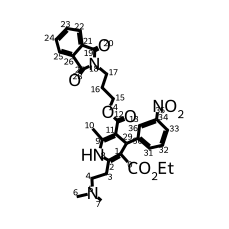 CCOC(=O)C1=C(CCN(C)C)NC(C)=C(C(=O)OCCCN2C(=O)c3ccccc3C2=O)C1c1cccc([N+](=O)[O-])c1